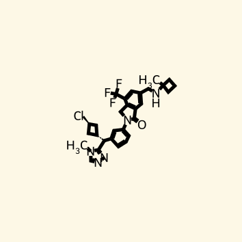 Cn1cnnc1C(c1cccc(N2Cc3c(cc(CNC4(C)CCC4)cc3C(F)(F)F)C2=O)c1)[C@H]1C[C@H](Cl)C1